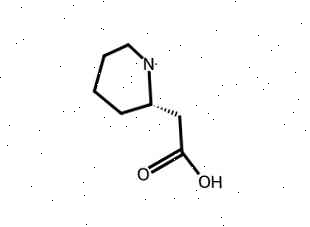 O=C(O)C[C@@H]1CCCC[N]1